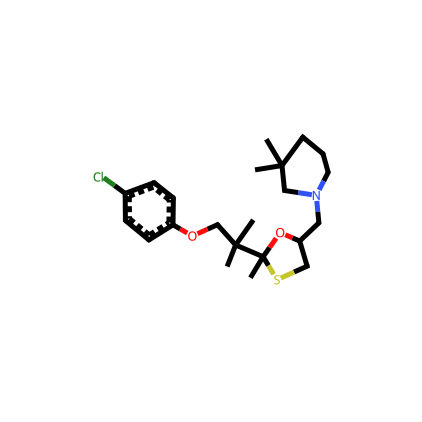 CC1(C)CCCN(CC2CSC(C)(C(C)(C)COc3ccc(Cl)cc3)O2)C1